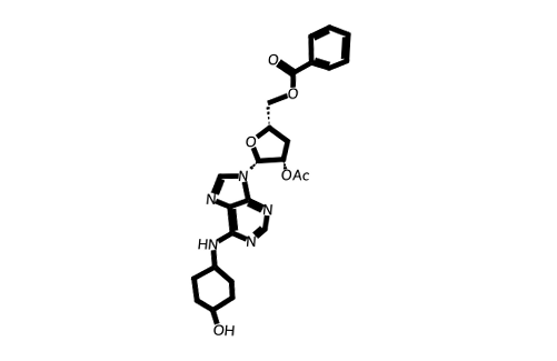 CC(=O)O[C@H]1C[C@@H](COC(=O)c2ccccc2)O[C@H]1n1cnc2c(NC3CCC(O)CC3)ncnc21